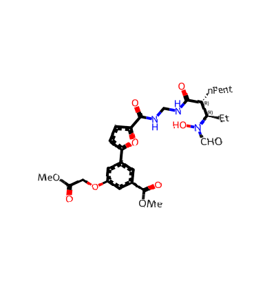 CCCCC[C@@H](C(=O)NCNC(=O)c1ccc(-c2cc(OCC(=O)OC)cc(C(=O)OC)c2)o1)[C@@H](CC)N(O)C=O